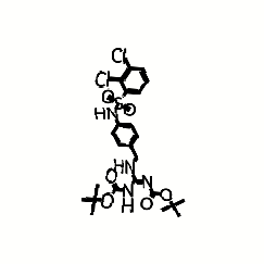 CC(C)(C)OC(=O)N=C(NCc1ccc(NS(=O)(=O)c2cccc(Cl)c2Cl)cc1)NC(=O)OC(C)(C)C